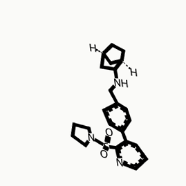 O=S(=O)(c1ncccc1-c1ccc(CNC2C[C@H]3CC[C@@H]2C3)cc1)N1CCCC1